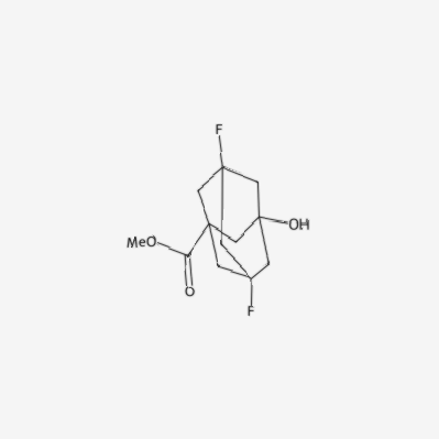 COC(=O)C12CC3(O)CC(F)(CC(F)(C3)C1)C2